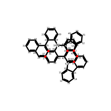 c1cc(-c2cccc3c2sc2ccccc23)cc(N(c2ccccc2-c2cccc3ccccc23)c2ccccc2-c2cccc3c2oc2ccccc23)c1